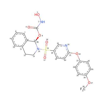 O=C(NO)O[C@@H]1c2ccccc2CCN1S(=O)(=O)c1ccc(Oc2ccc(OC(F)(F)F)cc2)nc1